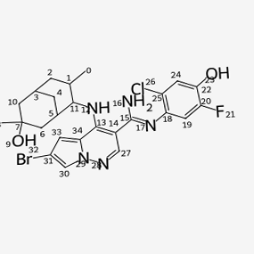 CC1CC2CC(CC(C)(O)C2)C1Nc1c(/C(N)=N/c2cc(F)c(O)cc2Cl)cnn2cc(Br)cc12